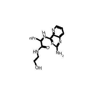 CCCC(Nc1nc(N)nc2cccnc12)C(=O)NCCO